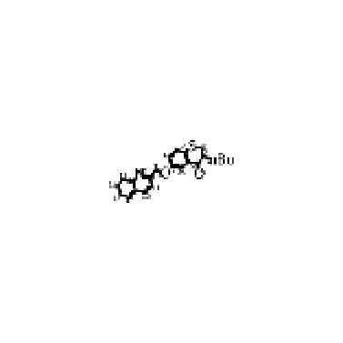 CCCCC1CSc2ccc(OCc3ccc4ccccc4n3)cc2C1=O